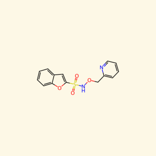 O=S(=O)(NOCc1ccccn1)c1cc2ccccc2o1